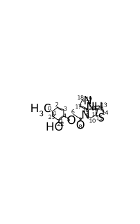 Cc1ccc(OCC(=O)N(Cc2cccs2)c2ccn[nH]2)c(O)c1